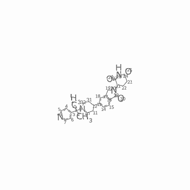 CC(C)(c1ccncc1)N1CCC(c2ccc3c(c2)CN(C2CCC(=O)NC2=O)C3=O)CC1